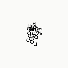 COC(=O)Oc1c(Cc2ccc(C(=O)N[C@@H]3[C@@H]4C[C@@H]5C[C@H]3C[C@](NS(=O)(=O)C3CC3)(C5)C4)cc2)c(=O)c2ccc(Cl)cc2n1-c1ccccc1